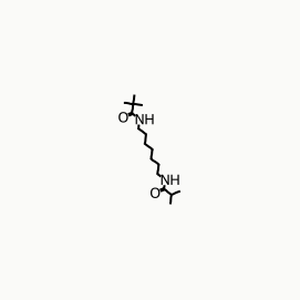 CC(C)C(=O)NCCCCCCCNC(=O)C(C)(C)C